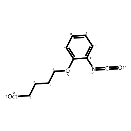 CCCCCCCCCCCCOc1ccccc1N=C=O